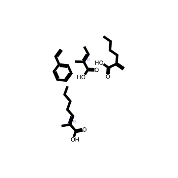 C/C=C(\C)C(=O)O.C=C(CCCC)C(=O)O.C=Cc1ccccc1.CCCC/C=C(\C)C(=O)O